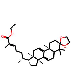 CCOC(=O)/C(C)=C/CC[C@@H](C)[C@H]1CC[C@@]2(C)C3=CCC4C(C)(C)C5(CC[C@]4(C)C3=CC[C@]12C)OCCO5